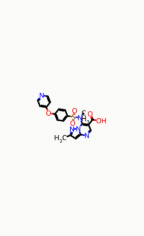 Cc1cc2ncc(C(=O)O)c(N(C)S(=O)(=O)c3ccc(Oc4ccncc4)cc3)n2n1